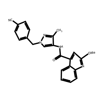 COc1cc(C(=O)Nc2cn(Cc3ccc(C#N)cc3)nc2C)c2ccccc2n1